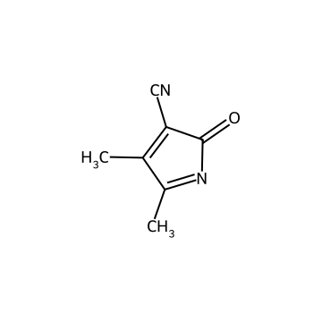 CC1=NC(=O)C(C#N)=C1C